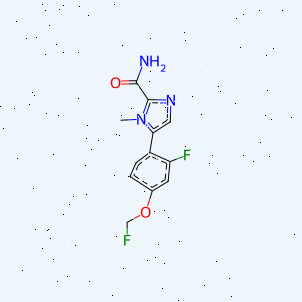 Cn1c(-c2ccc(OCF)cc2F)cnc1C(N)=O